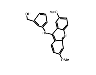 COc1ccc2c(Nc3cccc(CO)c3)c3cc(OC)ccc3nc2c1